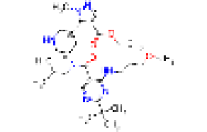 CCOC(=O)c1cnn(C)c1[C@H]1CNC[C@@H](N(CC(C)C)C(=O)c2cnc(C(C)(C)C)nc2NCCCOC)C1